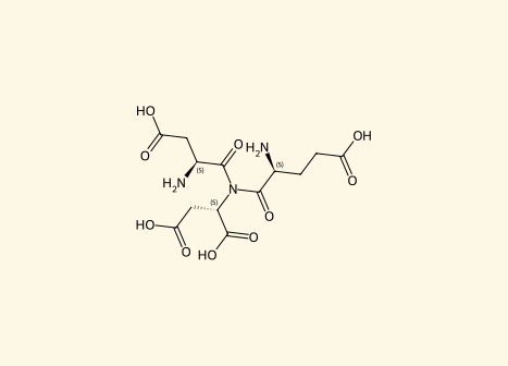 N[C@@H](CCC(=O)O)C(=O)N(C(=O)[C@@H](N)CC(=O)O)[C@@H](CC(=O)O)C(=O)O